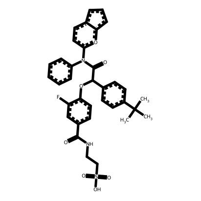 CC(C)(C)c1ccc(C(Oc2ccc(C(=O)NCCS(=O)(=O)O)cc2F)C(=O)N(c2ccccc2)c2ccc3cccc-3o2)cc1